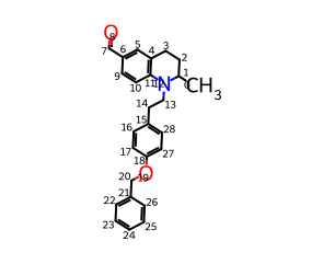 CC1CCc2cc(C=O)ccc2N1CCc1ccc(OCc2ccccc2)cc1